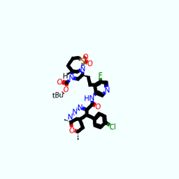 C[C@@H]1CC(C(c2ccc(Cl)cc2)C(N=[N+]=[N-])C(=O)Nc2cncc(F)c2CC[C@H]2CN(C(=O)OC(C)(C)C)[C@@H]3CCCS(=O)(=O)N2C3)C[C@H](C)O1